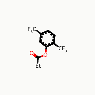 CCC(=O)Oc1cc(C(F)(F)F)ccc1C(F)(F)F